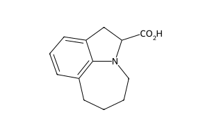 O=C(O)C1Cc2cccc3c2N1CCCC3